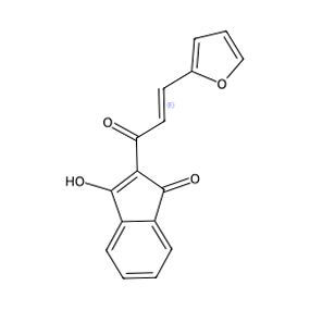 O=C(/C=C/c1ccco1)C1=C(O)c2ccccc2C1=O